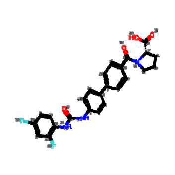 O=C(Nc1ccc(-c2ccc(C(=O)N3CCC[C@H]3C(=O)O)cc2)cc1)Nc1ccc(F)cc1F